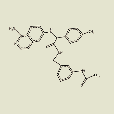 CC(=O)Nc1cccc(CNC(=O)C(Nc2ccc3c(N)nccc3c2)c2ccc(C)cc2)c1